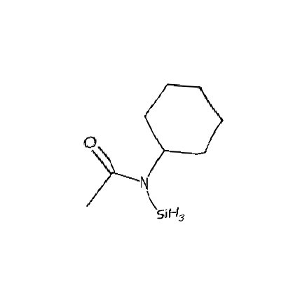 CC(=O)N([SiH3])C1CCCCC1